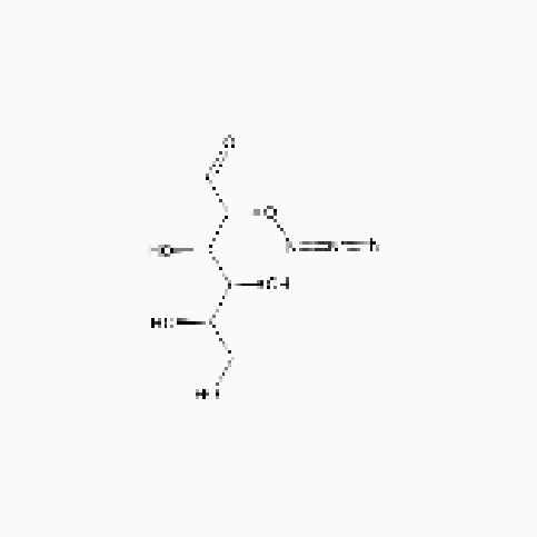 [N-]=[N+]=NO[C@@H](C=O)[C@@H](O)[C@@H](O)[C@H](O)CO